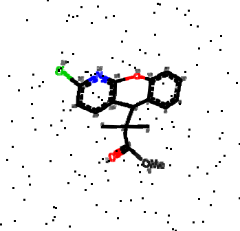 COC(=O)C(C)(C)C1c2ccccc2Oc2nc(Cl)ccc21